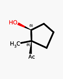 CC(=O)[C@]1(C)CCC[C@@H]1O